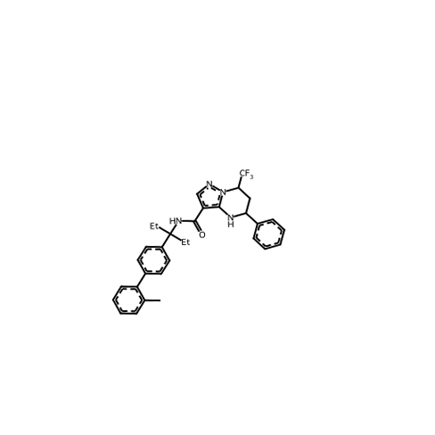 CCC(CC)(NC(=O)c1cnn2c1NC(c1ccccc1)CC2C(F)(F)F)c1ccc(-c2ccccc2C)cc1